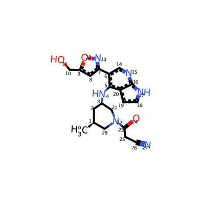 C[C@H]1C[C@@H](Nc2c(-c3cc(CO)on3)cnc3[nH]ccc23)CN(C(=O)CC#N)C1